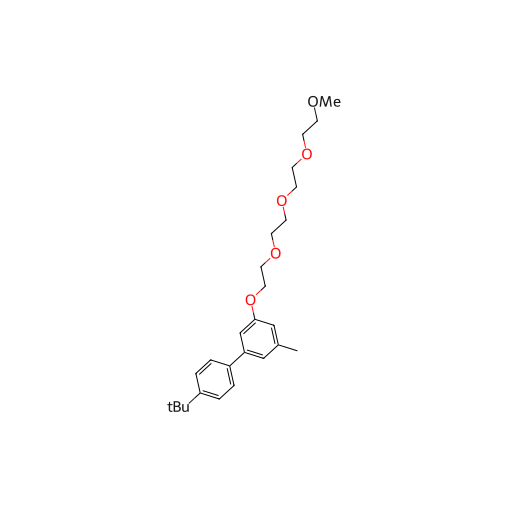 COCCOCCOCCOCCOc1cc(C)cc(-c2ccc(C(C)(C)C)cc2)c1